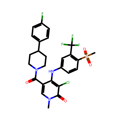 Cn1cc(C(=O)N2CCC(c3ccc(F)cc3)CC2)c(Nc2ccc(S(C)(=O)=O)c(C(F)(F)F)c2)c(Cl)c1=O